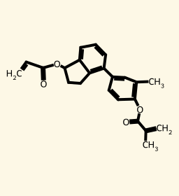 C=CC(=O)OC1CCc2c(-c3ccc(OC(=O)C(=C)C)c(C)c3)cccc21